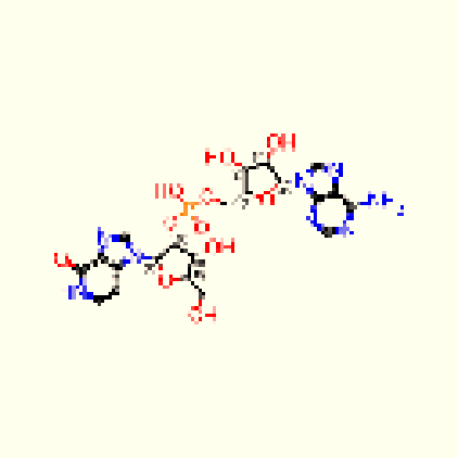 Nc1ncnc2c1ncn2[C@@H]1O[C@H](COP(=O)(O)O[C@@H]2[C@H](O)[C@@H](CO)O[C@H]2n2cnc3c(=O)[nH]ccc32)[C@@H](O)[C@H]1O